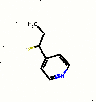 CCC([S])c1ccncc1